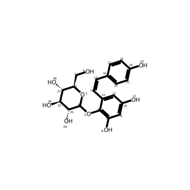 OC[C@H]1OC(Oc2c(O)cc(O)cc2C=Cc2ccc(O)cc2)[C@H](O)[C@@H](O)[C@@H]1O